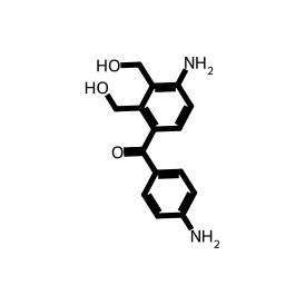 Nc1ccc(C(=O)c2ccc(N)c(CO)c2CO)cc1